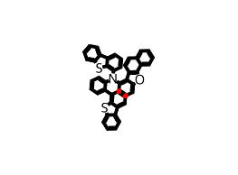 c1ccc(N(c2cccc3c2sc2ccccc23)c2cccc3oc4c5ccccc5ccc4c23)c(-c2cccc3c2sc2ccccc23)c1